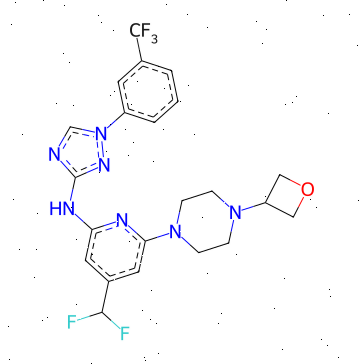 FC(F)c1cc(Nc2ncn(-c3cccc(C(F)(F)F)c3)n2)nc(N2CCN(C3COC3)CC2)c1